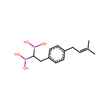 CC(C)=CCc1ccc(CC(P(O)O)P(O)O)cc1